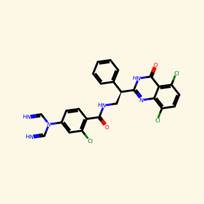 N=CN(C=N)c1ccc(C(=O)NC[C@@H](c2ccccc2)c2nc3c(Cl)ccc(Cl)c3c(=O)[nH]2)c(Cl)c1